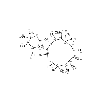 CCC1OC(=O)C(C)C(OC2CC(C)(OC)C(O)C(C)O2)C(C)C(OC)C(C)(O)CC(C)C(=O)C(C)C(O)C1(C)O